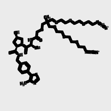 Cc1ncsc1-c1ccc(CNC(=O)[C@@H]2C[C@@H](O)CN2C(=O)[C@@H](NC(=O)COCC(C)(COCCOCCOCCN=[N+]=[N-])COCCOCCOCCN=[N+]=[N-])C(C)(C)C)cc1